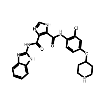 O=C(Nc1nc2ccccc2[nH]1)c1nc[nH]c1C(=O)Nc1ccc(OC2CCNCC2)cc1Cl